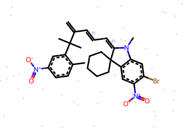 C=C(/C=C/C=C1/N(C)c2cc(Br)c([N+](=O)[O-])cc2C12CCCCC2)C(C)(C)c1cc([N+](=O)[O-])ccc1C